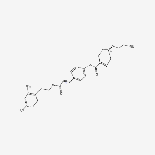 C#CCCO[C@H]1CC=C(C(=O)Oc2ccc(/C=C/C(=O)OCCC3=C(N)C=C(N)CC3)cc2)CC1